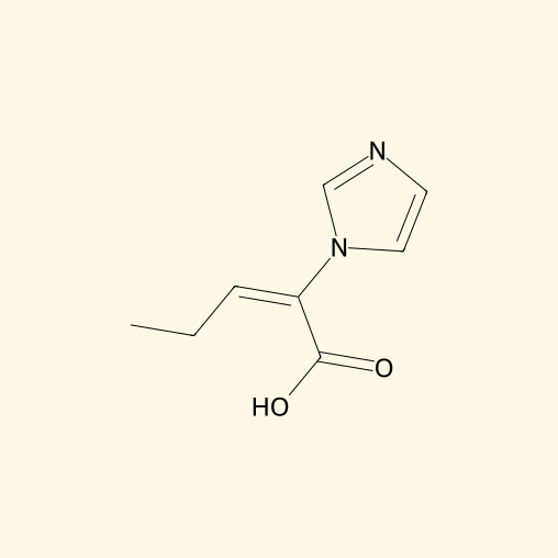 CCC=C(C(=O)O)n1ccnc1